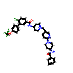 O=C(NC1CCN(Cc2ccc(N3CCC(NC(=O)c4ccccc4)CC3)nc2)CC1)c1ccc(Cl)c(-c2ccc(OC(F)(F)F)cc2)c1